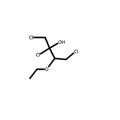 CCOC(CCl)C(O)(Cl)CCl